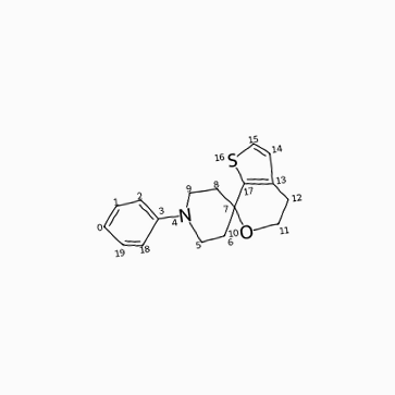 c1ccc(N2CCC3(CC2)OCCc2ccsc23)cc1